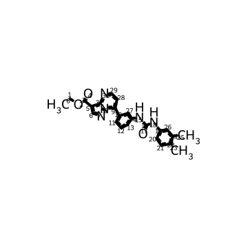 CCOC(=O)c1cnn2c(-c3cccc(NC(=O)Nc4ccc(C)c(C)c4)c3)ccnc12